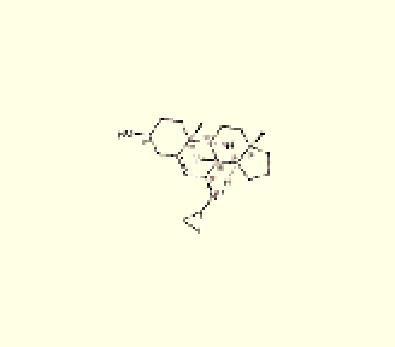 C[C@@]12CCC[C@H]1[C@@H]1[C@@H](NC3CC3)C=C3C[C@@H](O)CC[C@]3(C)[C@H]1CC2